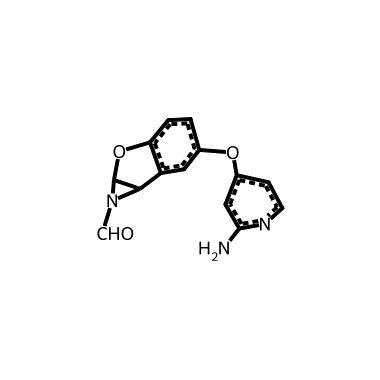 Nc1cc(Oc2ccc3c(c2)C2C(O3)N2C=O)ccn1